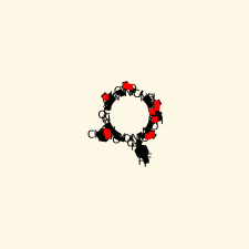 CC[C@H](C)[C@@H]1NC(=O)[C@H](CC(C)C)N(C)C(=O)C[C@@H](C)NC(=O)[C@H](CC(C)C)N(C)C(=O)C2(CCCC2)NC(=O)[C@H](CC(C)C)N(C)C(=O)[C@H](CCc2ccc(C(F)(F)F)cc2)NC(=O)CN(C)C(=O)[C@H](Cc2ccc(Cl)cc2)N(C)C(=O)CN(C)C(=O)CN(C)C1=O